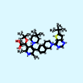 Cc1nc(C)c([C@H](OC(C)(C)C)C(=O)O)c(N2CCC(C)(C)CC2)c1-c1ccc2c(c1)CCN(c1ncnc3cc(C(C)(C)C)sc13)C2